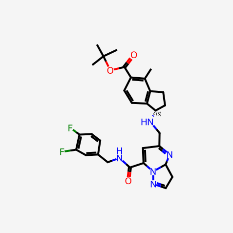 Cc1c(C(=O)OC(C)(C)C)ccc2c1CC[C@@H]2NCC1=NC2CC=NN2C(C(=O)NCc2ccc(F)c(F)c2)=C1